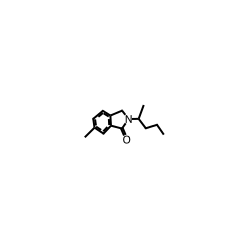 CCCC(C)N1Cc2ccc(C)cc2C1=O